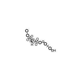 CCC(CC)(c1nc(N2C(=O)c3ccc(-c4ccccc4)cc3C2=O)n[nH]1)N1C(=O)c2ccc(Oc3ccc(C(C)(C)c4ccc(O)cc4)cc3)cc2C1=O